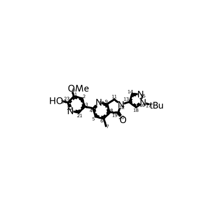 COc1cc(-c2cc(C)c3c(n2)CN(c2cnn(C(C)(C)C)c2)C3=O)cnc1O